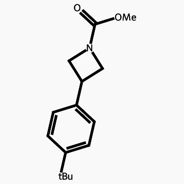 COC(=O)N1CC(c2ccc(C(C)(C)C)cc2)C1